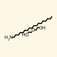 CCCCCCCCCCCCCCCCCCN.OCCOCCO